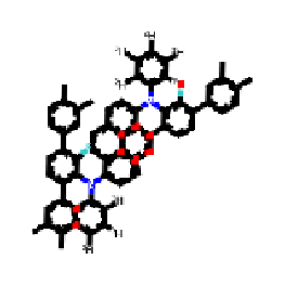 [2H]c1c([2H])c([2H])c(N(c2c(-c3ccc(C)c(C)c3)ccc(-c3ccc(C)c(C)c3)c2F)c2ccc3ccc4c(N(c5c([2H])c([2H])c([2H])c([2H])c5[2H])c5c(-c6ccc(C)c(C)c6)ccc(-c6ccc(C)c(C)c6)c5F)ccc5ccc2c3c54)c([2H])c1[2H]